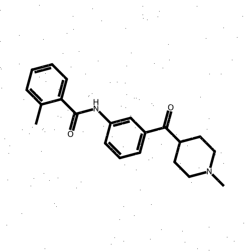 Cc1ccccc1C(=O)Nc1cccc(C(=O)C2CCN(C)CC2)c1